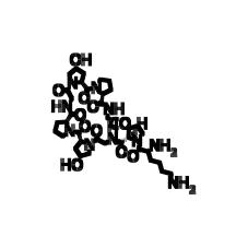 NCCCC[C@H](N)C(=O)N1CCC[C@H]1C(=O)NCC(=O)N1C[C@H](O)C[C@H]1C(=O)N1CCC[C@H]1C(=O)NCC(=O)N1C[C@H](O)C[C@H]1C(=O)N1CCC[C@H]1C(=O)NCC(=O)O